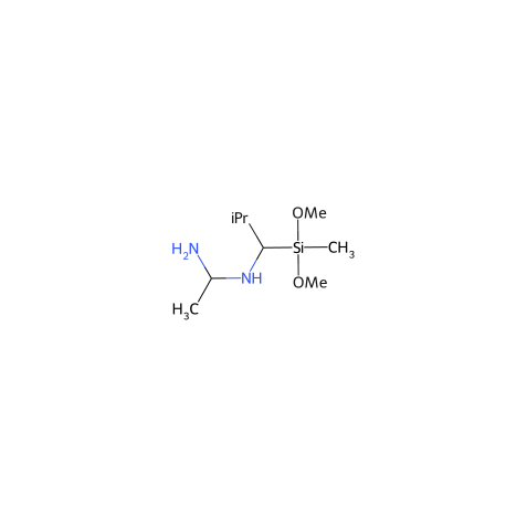 CO[Si](C)(OC)C(NC(C)N)C(C)C